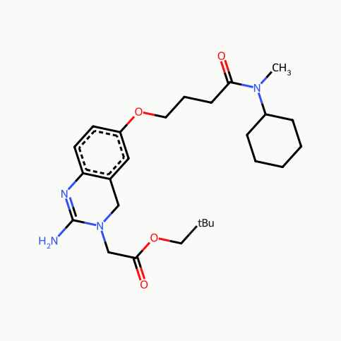 CN(C(=O)CCCOc1ccc2c(c1)CN(CC(=O)OCC(C)(C)C)C(N)=N2)C1CCCCC1